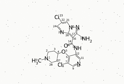 CN1CCC(Oc2c(Cl)cncc2NC(=O)c2c(N)nn3cc(Cl)cnc23)CC1